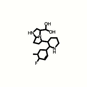 CC1CC(C2NCCCC2C2CCC3NCC(C(O)O)N32)C=CC1F